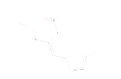 COC(=O)/C(=C/c1ccc(Cl)s1)CC(=O)O